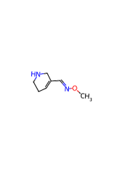 CON=CC1=CCCNC1